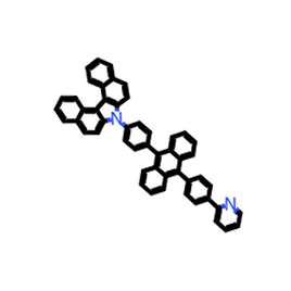 c1ccc(-c2ccc(-c3c4ccccc4c(-c4ccc(-n5c6ccc7ccccc7c6c6c7ccccc7ccc65)cc4)c4ccccc34)cc2)nc1